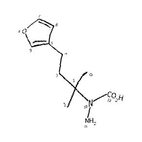 CC(C)(CCc1ccoc1)N(N)C(=O)O